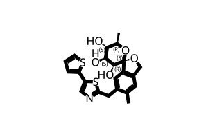 Cc1cc2c(cc1Cc1ncc(-c3cccs3)s1)[C@]1(OC2)O[C@H](C)[C@@H](O)[C@H](O)[C@H]1O